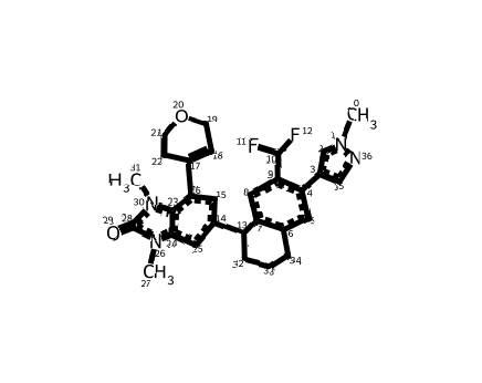 Cn1cc(-c2cc3c(cc2C(F)F)C(c2cc(C4=CCOCC4)c4c(c2)n(C)c(=O)n4C)CCC3)cn1